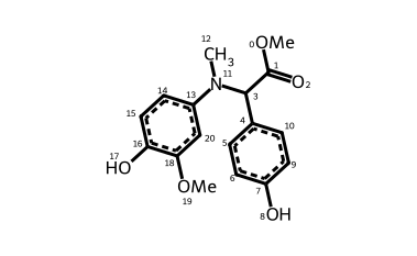 COC(=O)C(c1ccc(O)cc1)N(C)c1ccc(O)c(OC)c1